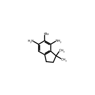 CC(C)(C)c1c(N)cc2c(c1N)C(C)(C)CC2